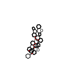 c1ccc(-c2ccc(-c3ccccc3N(c3ccc4c(c3)C3(c5ccccc5Oc5ccccc53)c3ccccc3-4)c3ccc4c(c3)C3(c5cc(C6CCCCC6)ccc5Oc5ccc(C6CCCCC6)cc53)c3ccccc3-4)cc2)cc1